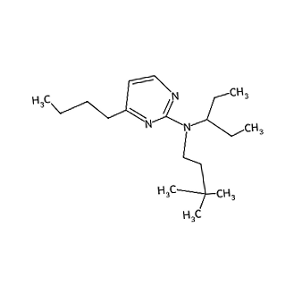 CCCCc1ccnc(N(CCC(C)(C)C)C(CC)CC)n1